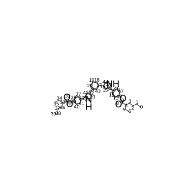 CCCCC(CC)C(=O)Oc1ccc(-c2cc(-c3cccc(-c4c[nH]c(-c5ccc(OC(=O)C(CC)CCCC)cc5)c4)c3)c[nH]2)cc1